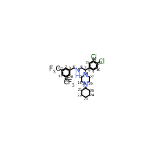 FC(F)(F)c1cc(CNCC(c2ccc(Cl)c(Cl)c2)N2CCN(C3CCCCC3)CC2)cc(C(F)(F)F)c1